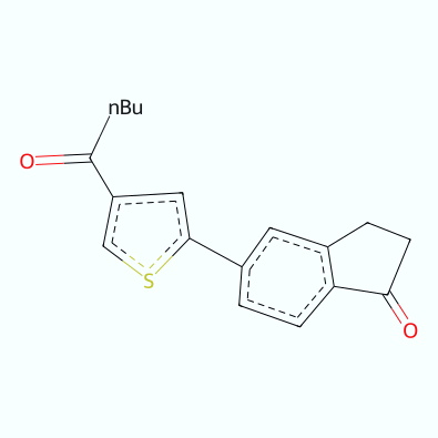 CCCCC(=O)c1csc(-c2ccc3c(c2)CCC3=O)c1